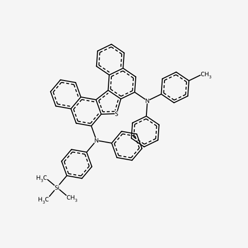 Cc1ccc(N(c2ccccc2)c2cc3ccccc3c3c2sc2c(N(c4ccccc4)c4ccc([Si](C)(C)C)cc4)cc4ccccc4c23)cc1